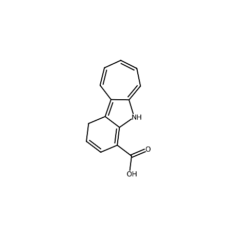 O=C(O)C1=c2[nH]c3c(c2CC=C1)C=CC=CC=3